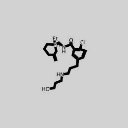 C=C1CCC[PH](CC)(CNC(=O)c2cc(CCCNCCCO)ccc2Cl)C1